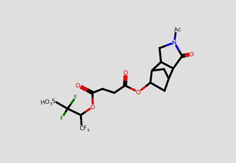 CC(=O)N1CC2C3CC(CC3OC(=O)CCC(=O)OC(C(F)(F)F)C(F)(F)S(=O)(=O)O)C2C1=O